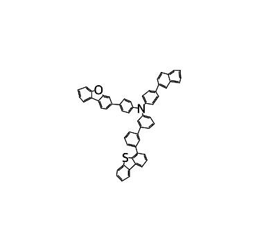 c1cc(-c2cccc(N(c3ccc(-c4ccc5ccccc5c4)cc3)c3ccc(-c4ccc5c(c4)oc4ccccc45)cc3)c2)cc(-c2cccc3c2sc2ccccc23)c1